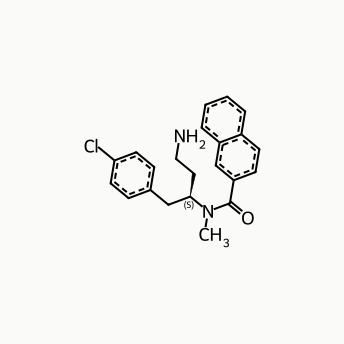 CN(C(=O)c1ccc2ccccc2c1)[C@H](CCN)Cc1ccc(Cl)cc1